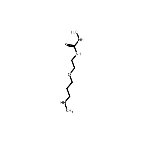 CNCCCOCCNC(=S)NC